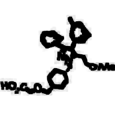 COCCc1c(-c2cccc(C)c2)c(-c2ccccc2)nn1C[C@H]1CC[C@H](COCC(=O)O)CC1